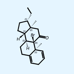 CC[C@H]1CC[C@H]2[C@@H]3CCC4=CCC=C[C@]4(C)[C@@]3(Br)C(=O)C[C@]12C